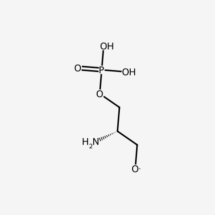 N[C@@H](C[O])COP(=O)(O)O